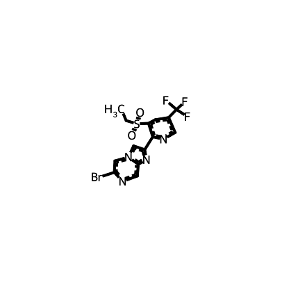 CCS(=O)(=O)c1cc(C(F)(F)F)cnc1-c1cn2cc(Br)ncc2n1